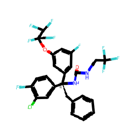 O=C(NCC(F)(F)F)N[C@@](Cc1ccccc1)(c1cc(F)cc(OC(F)(F)C(F)F)c1)c1ccc(F)c(Cl)c1